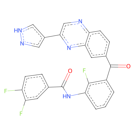 O=C(Nc1cccc(C(=O)c2ccc3ncc(-c4cn[nH]c4)nc3c2)c1F)c1ccc(F)c(F)c1